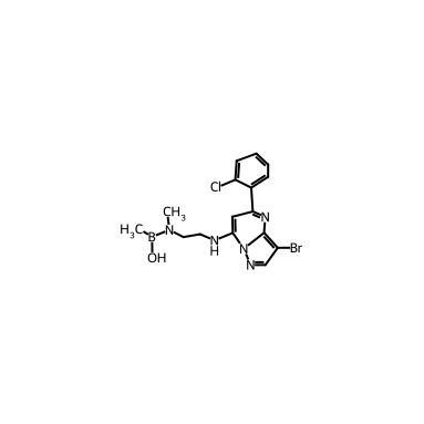 CB(O)N(C)CCNc1cc(-c2ccccc2Cl)nc2c(Br)cnn12